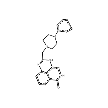 O=c1[nH]nc2c3c(cccc13)N=C(CN1CCN(c3ccccc3)CC1)N2